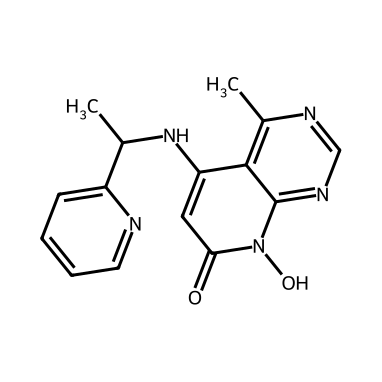 Cc1ncnc2c1c(NC(C)c1ccccn1)cc(=O)n2O